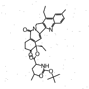 CCc1c2c(nc3ccc(C)cc13)-c1cc3c(c(=O)n1C2)CCC(=O)[C@@]3(CC)OC(=O)C(CC(C)C)NC(=O)OC(C)(C)C